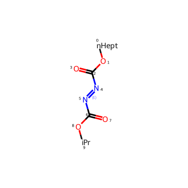 CCCCCCCOC(=O)/N=N/C(=O)OC(C)C